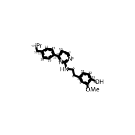 COc1cc(CCNc2nccc(-c3ccc(CC(C)C)cc3)n2)ccc1O